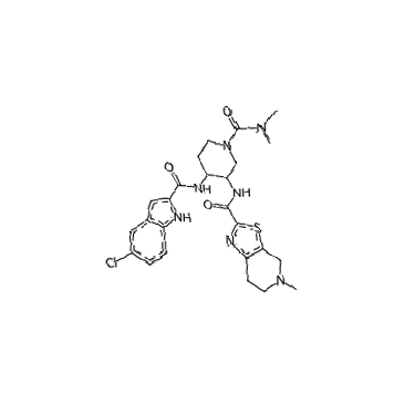 CN1CCc2nc(C(=O)NC3CN(C(=O)N(C)C)CCC3NC(=O)c3cc4cc(Cl)ccc4[nH]3)sc2C1